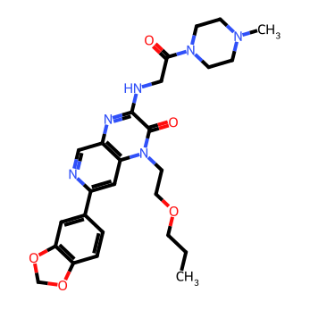 CCCOCCn1c(=O)c(NCC(=O)N2CCN(C)CC2)nc2cnc(-c3ccc4c(c3)OCO4)cc21